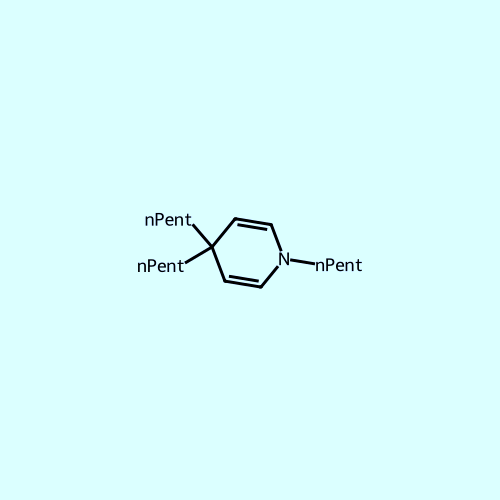 CCCCCN1C=CC(CCCCC)(CCCCC)C=C1